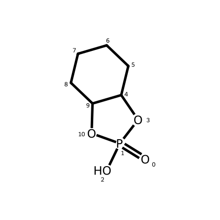 O=P1(O)OC2CCCCC2O1